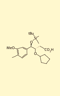 COc1cc([C@@H](O[Si](C)(C)C(C)(C)C)[C@H](CC(=O)O)OC2CCCC2)ccc1C